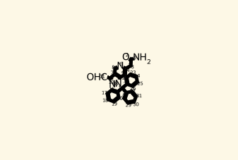 NC(=O)Cc1cc2c(cn1)c(C=O)nn2C(c1ccccc1)(c1ccccc1)c1ccccc1